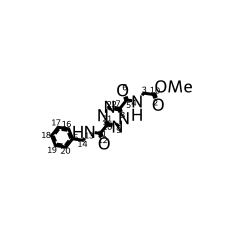 COC(=O)CNC(=O)c1nnc(C(=O)NCc2ccccc2)nn1